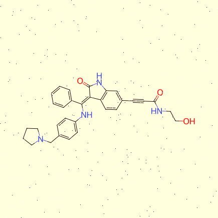 O=C(C#Cc1ccc2c(c1)NC(=O)C2=C(Nc1ccc(CN2CCCC2)cc1)c1ccccc1)NCCO